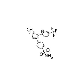 CCC1C=C(c2ccc(S(N)(=O)=O)cc2)C(c2ccc(C(F)(F)F)cn2)=C1